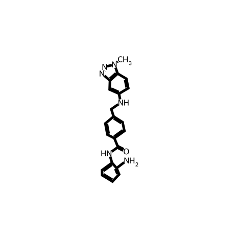 Cn1nnc2cc(NCc3ccc(C(=O)Nc4ccccc4N)cc3)ccc21